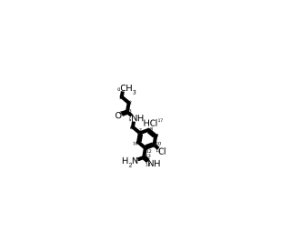 CCCC(=O)NCc1ccc(Cl)c(C(=N)N)c1.Cl